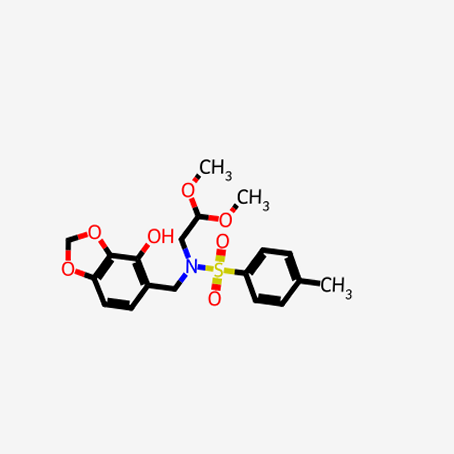 COC(CN(Cc1ccc2c(c1O)OCO2)S(=O)(=O)c1ccc(C)cc1)OC